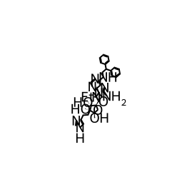 CCN(C(=O)[C@H]1O[C@@H](O)[C@@](O)(CCc2c[nH]cn2)[C@@H]1O)n1c(N)nc2c(NCC(c3ccccc3)c3ccccc3)ncnc21